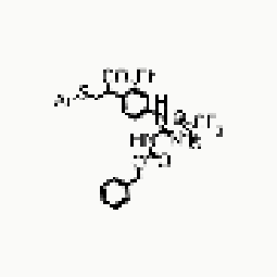 CCOC(=O)C(CSC(C)=O)c1ccc(N/C(=N\S(=O)(=O)C(F)(F)F)NC(=O)OCc2ccccc2)cc1